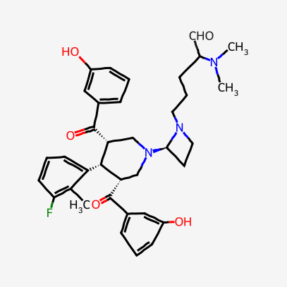 Cc1c(F)cccc1[C@H]1[C@@H](C(=O)c2cccc(O)c2)CN([C@@H]2CCN2CCCC(C=O)N(C)C)C[C@H]1C(=O)c1cccc(O)c1